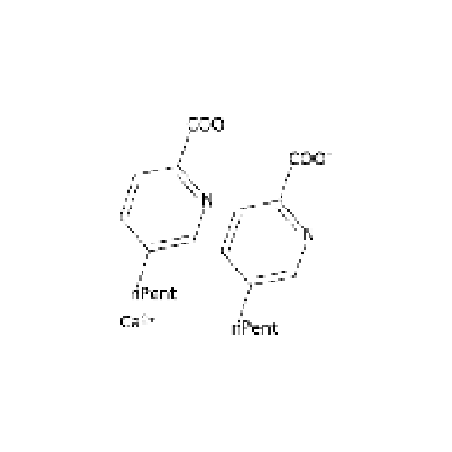 CCCCCc1ccc(C(=O)[O-])nc1.CCCCCc1ccc(C(=O)[O-])nc1.[Ca+2]